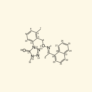 CC(=NOCc1c(C)cccc1-n1nnn(C)c1=O)c1cccc2ccccc12